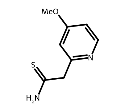 COc1ccnc(CC(N)=S)c1